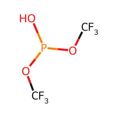 OP(OC(F)(F)F)OC(F)(F)F